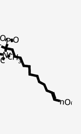 CCCCCCCCC=CCCCCCCCCCCC(CCC)(P(=O)=O)[N+](C)(C)CC